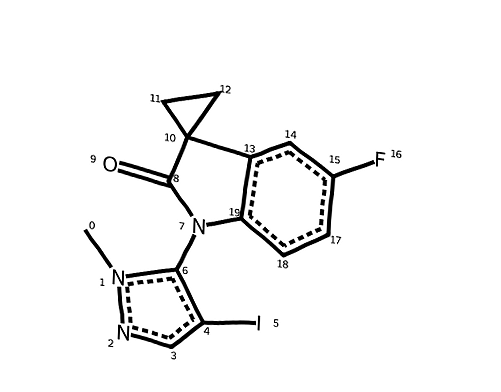 Cn1ncc(I)c1N1C(=O)C2(CC2)c2cc(F)ccc21